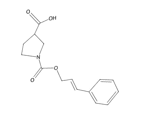 O=C(O)C1CCN(C(=O)OC/C=C/c2ccccc2)C1